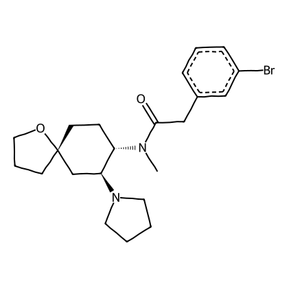 CN(C(=O)Cc1cccc(Br)c1)[C@H]1CC[C@]2(CCCO2)C[C@@H]1N1CCCC1